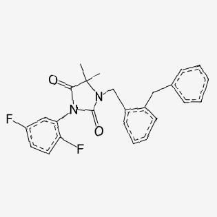 CC1(C)C(=O)N(c2cc(F)ccc2F)C(=O)N1Cc1ccccc1Cc1ccccc1